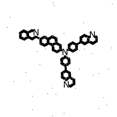 c1ccc2cc(-c3ccc4c(ccc5cc(N(c6ccc(-c7ccc8ncccc8c7)cc6)c6ccc(-c7ccc8ncccc8c7)cc6)ccc54)c3)ncc2c1